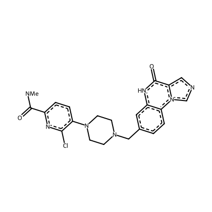 CNC(=O)c1ccc(N2CCN(Cc3ccc4c(c3)[nH]c(=O)c3cncn34)CC2)c(Cl)n1